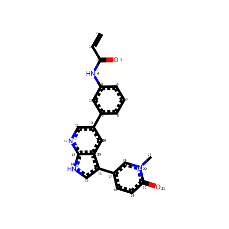 C=CC(=O)Nc1cccc(-c2cnc3[nH]cc(-c4ccc(=O)n(C)c4)c3c2)c1